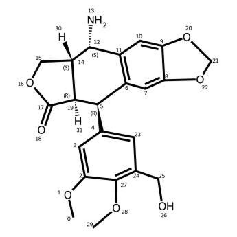 COc1cc([C@@H]2c3cc4c(cc3[C@@H](N)[C@H]3COC(=O)[C@H]23)OCO4)cc(CO)c1OC